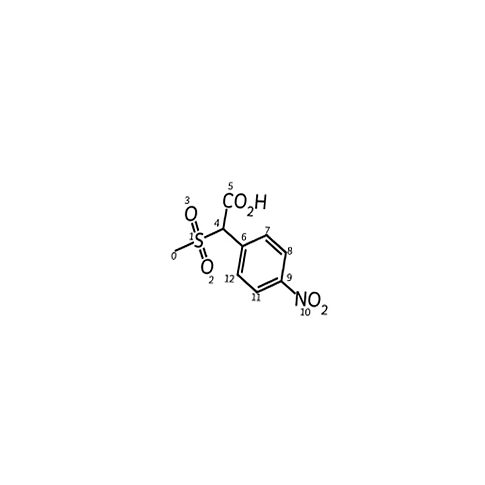 CS(=O)(=O)C(C(=O)O)c1ccc([N+](=O)[O-])cc1